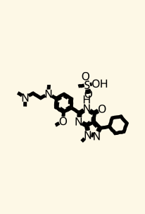 COc1cc(N(C)CCN(C)C)ccc1-c1nc2c(c(C3CCCCC3)nn2C)c(=O)[nH]1.CS(=O)(=O)O